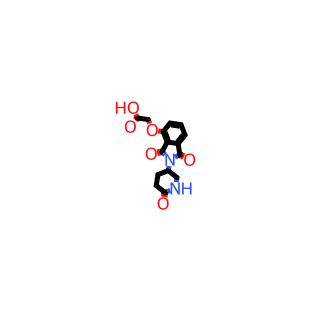 O=C(O)COc1cccc2c1C(=O)N(C1CCC(=O)NC1)C2=O